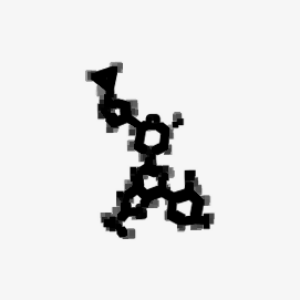 C[C@@H]1CN(c2nc(-c3ccc(F)cc3F)c3sc(N(C)C)nc3n2)C[C@@H](c2cnn(C3CC3)c2)O1